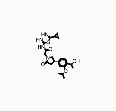 CC(C)Oc1cc([C@@H]2CC(=O)N(CC(=O)NC(=N)SC(=N)C3CC3)C2)ccc1C(C)O